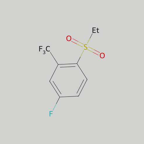 CCS(=O)(=O)c1ccc(F)cc1C(F)(F)F